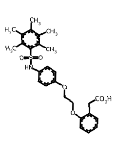 Cc1c(C)c(C)c(S(=O)(=O)Nc2ccc(OCCOc3ccccc3CC(=O)O)cc2)c(C)c1C